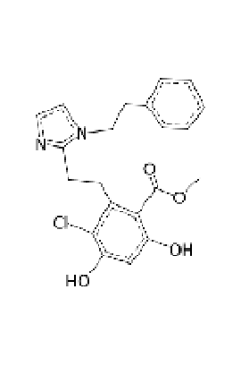 COC(=O)c1c(O)cc(O)c(Cl)c1CCc1nccn1CCc1ccccc1